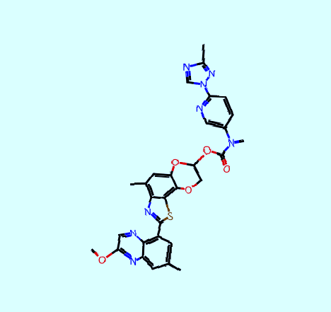 COc1cnc2c(-c3nc4c(C)cc5c(c4s3)OCC(OC(=O)N(C)c3ccc(-n4cnc(C)n4)nc3)O5)cc(C)cc2n1